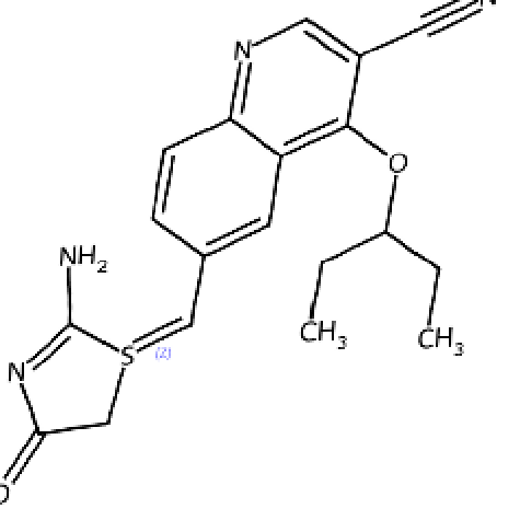 CCC(CC)Oc1c(C#N)cnc2ccc(/C=S3/CC(=O)N=C3N)cc12